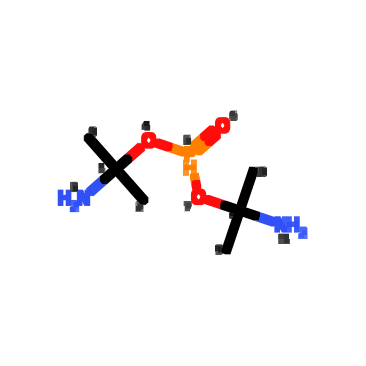 CC(C)(N)O[PH](=O)OC(C)(C)N